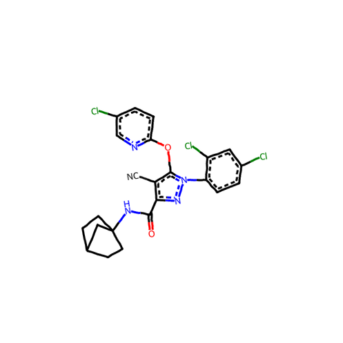 N#Cc1c(C(=O)NC23CCC(CC2)C3)nn(-c2ccc(Cl)cc2Cl)c1Oc1ccc(Cl)cn1